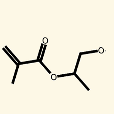 C=C(C)C(=O)OC(C)C[O]